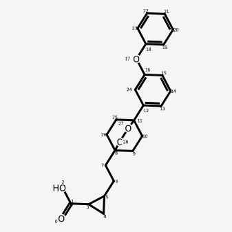 O=C(O)C1CC1CCC12CCC(c3cccc(Oc4ccccc4)c3)(CC1)OC2